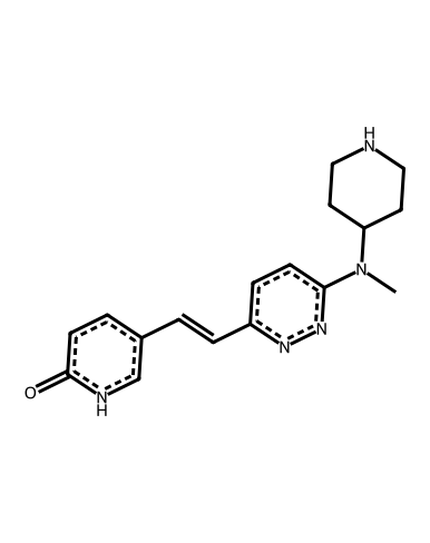 CN(c1ccc(/C=C/c2ccc(=O)[nH]c2)nn1)C1CCNCC1